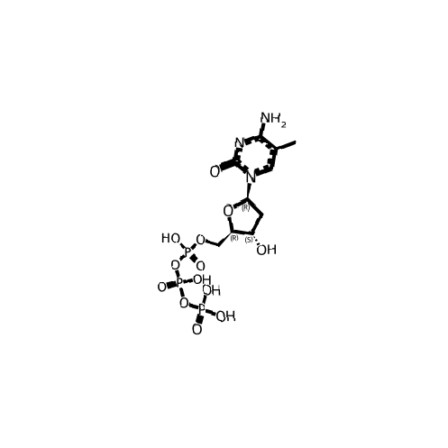 Cc1cn([C@H]2C[C@H](O)[C@@H](COP(=O)(O)OP(=O)(O)OP(=O)(O)O)O2)c(=O)nc1N